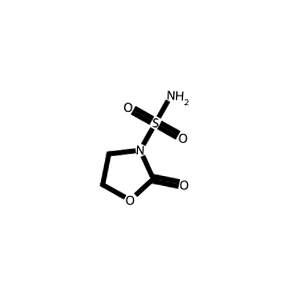 NS(=O)(=O)N1CCOC1=O